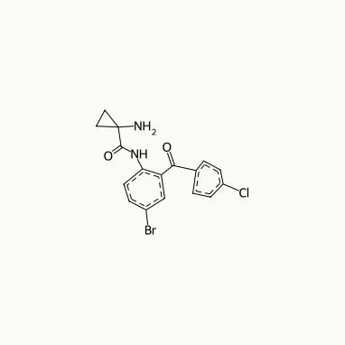 NC1(C(=O)Nc2ccc(Br)cc2C(=O)c2ccc(Cl)cc2)CC1